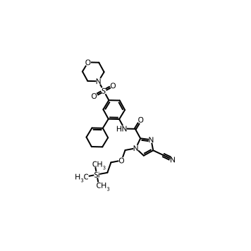 C[Si](C)(C)CCOCn1cc(C#N)nc1C(=O)Nc1ccc(S(=O)(=O)N2CCOCC2)cc1C1=CCCCC1